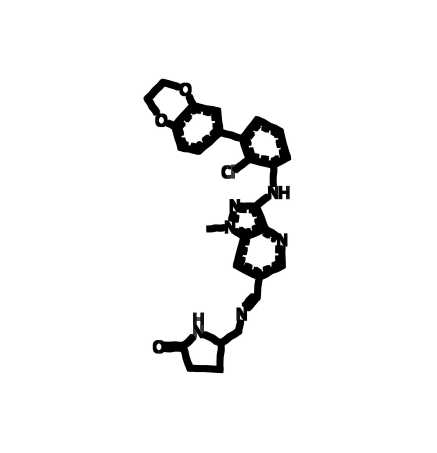 Cn1nc(Nc2cccc(-c3ccc4c(c3)OCCO4)c2Cl)c2ncc(C=NCC3CCC(=O)N3)cc21